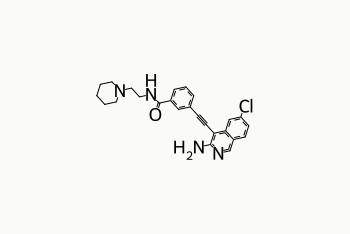 Nc1ncc2ccc(Cl)cc2c1C#Cc1cccc(C(=O)NCCN2CCCCC2)c1